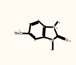 COc1ccc2c(c1)n(C)c(=O)n2C